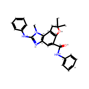 Cn1c(Nc2ccccc2)nc2cc(C(=O)Nc3ccccc3)c3c(c21)CC(C)(C)O3